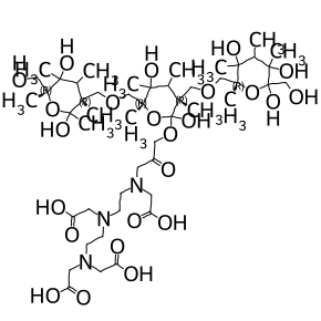 CC1C(C)(O)C(O)(CO)O[C@](C)(COC[C@@]2(C)C(C)C(C)(O)[C@@](C)(COC[C@@]3(C)C(C)C(C)(O)[C@@](C)(CO)OC3(C)O)OC2(O)OCC(=O)CN(CCN(CCN(CC(=O)O)CC(=O)O)CC(=O)O)CC(=O)O)C1(C)O